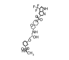 CNS(=O)(=O)c1cccc(OC[C@@H](O)CNC2COC3(CCN(S(=O)(=O)c4cnc5[nH]cc(C(F)(F)F)c5c4)CC3)C2)c1